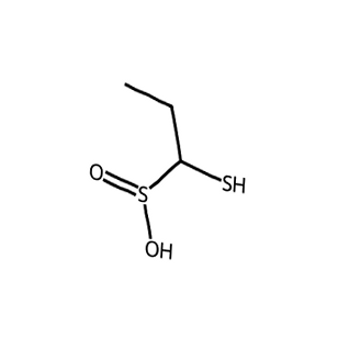 CCC(S)S(=O)O